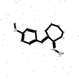 COc1ccc(/C=C2\CCCCC\C2=N/O)cc1